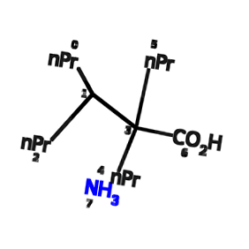 CCCC(CCC)C(CCC)(CCC)C(=O)O.N